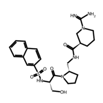 N=C(N)N1CCC[C@@H](C(=O)NC[C@@H]2CCCN2C(=O)[C@H](CO)NS(=O)(=O)c2ccc3ccccc3c2)C1